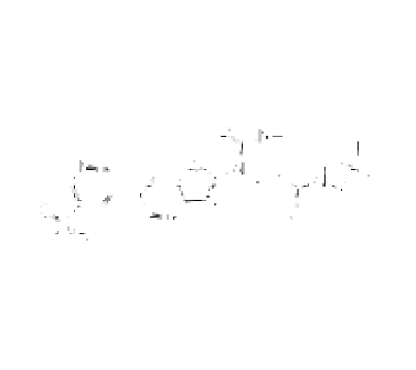 CS(=O)(=O)c1cncc(-c2ccc3nc(N(CCC(=O)N4CC(F)(F)C4)C(N)=O)sc3c2)c1